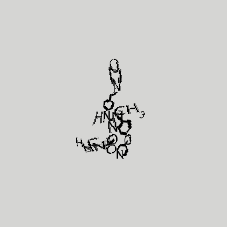 CNC(=O)Oc1cc(Oc2ccc3c(c2)nc(Nc2ccc(CCN4CCOCC4)cc2)n3C)ccn1